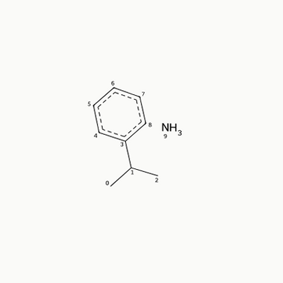 CC(C)c1ccccc1.N